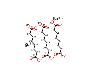 O=C([O-])CCCCCCC(=O)[O-].O=C([O-])CCCCCCC(=O)[O-].O=C([O-])CCCCCCC(=O)[O-].[Ru+3].[Ru+3]